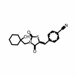 CC1(CN2C(=O)SC(=Cc3ccc(C#N)cc3)C2=O)CCCCC1